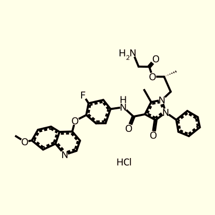 COc1ccc2c(Oc3ccc(NC(=O)c4c(C)n(C[C@@H](C)OC(=O)CN)n(-c5ccccc5)c4=O)cc3F)ccnc2c1.Cl